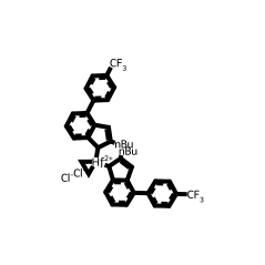 CCCCC1=Cc2c(-c3ccc(C(F)(F)F)cc3)cccc2[CH]1[Hf+2]1([CH]2C(CCCC)=Cc3c(-c4ccc(C(F)(F)F)cc4)cccc32)[CH2][CH2]1.[Cl-].[Cl-]